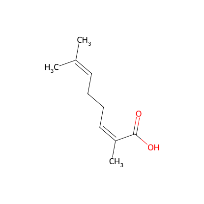 CC(C)=CCCC=C(C)C(=O)O